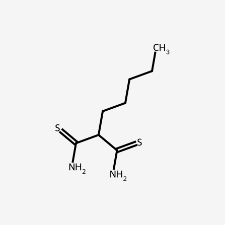 CCCCCC(C(N)=S)C(N)=S